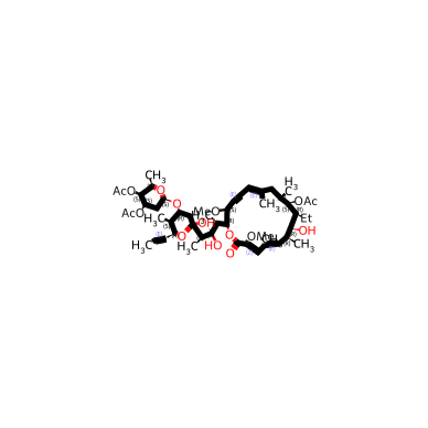 C/C=C/[C@H]1O[C@@](O)([C@@H](C)[C@H](O)[C@H](C)[C@H]2OC(=O)/C(OC)=C/C(C)=C/[C@@H](C)[C@@H](O)[C@@H](CC)[C@@H](OC(C)=O)[C@H](C)C/C(C)=C/C=C/[C@@H]2OC)C[C@@H](O[C@@H]2C[C@H](OC(C)=O)[C@@H](OC(C)=O)[C@H](C)O2)[C@@H]1C